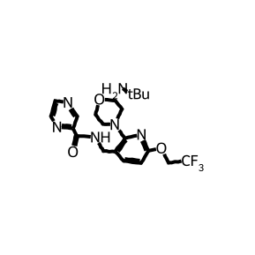 CC(C)(C)N.O=C(NCc1ccc(OCC(F)(F)F)nc1N1CCOCC1)c1cnccn1